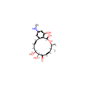 CCNc1cc(O)c2c(c1)C=CC[C@H](O)[C@H](O)C(=O)C=C[C@@H](C)[C@H](C)OC2=O